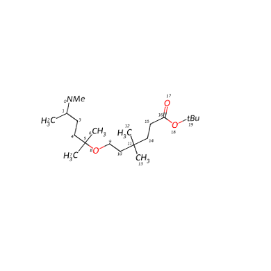 CNC(C)CCC(C)(C)OCCC(C)(C)CCC(=O)OC(C)(C)C